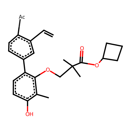 C=Cc1cc(-c2ccc(O)c(C)c2OCC(C)(C)C(=O)OC2CCC2)ccc1C(C)=O